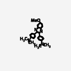 COc1ccc2nc(-c3ccc(N(C)C)cc3)c(-c3ccc(N(C)C)cc3)nc2c1